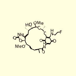 CO[C@H]1/C=C/C=C(/C)C(=O)NC2=CC(=O)C(NCCF)=C(C[C@@H](C)C[C@H](OC)[C@@H](O)[C@@H](C)/C=C(\C)[C@@H]1OC(N)=O)C2=O